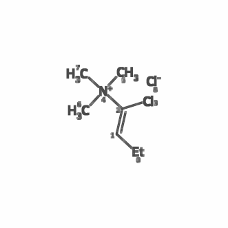 CCC=C(Cl)[N+](C)(C)C.[Cl-]